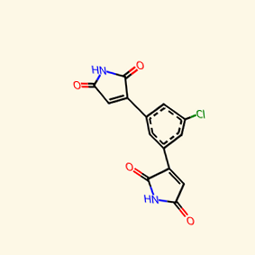 O=C1C=C(c2cc(Cl)cc(C3=CC(=O)NC3=O)c2)C(=O)N1